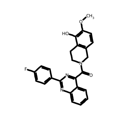 COc1ccc2c(c1O)CCN(C(=O)c1nc(-c3ccc(F)cc3)nc3ccccc13)C2